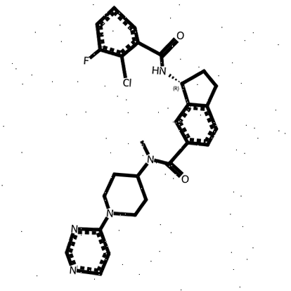 CN(C(=O)c1ccc2c(c1)[C@H](NC(=O)c1cccc(F)c1Cl)CC2)C1CCN(c2ccncn2)CC1